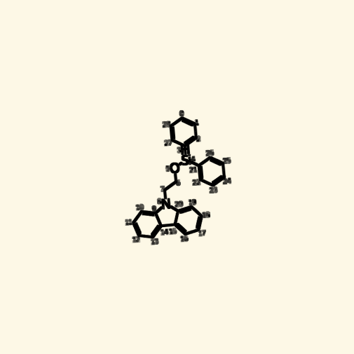 c1ccc([SiH](OCCn2c3ccccc3c3ccccc32)c2ccccc2)cc1